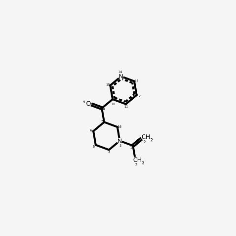 C=C(C)N1CCCC(C(=O)c2cccnc2)C1